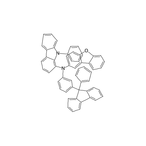 c1ccc(-n2c3ccccc3c3cccc(N(c4cccc(C5(c6ccccc6)c6ccccc6-c6ccccc65)c4)c4ccc5oc6ccccc6c5c4)c32)cc1